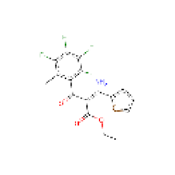 CCOC(=O)C(C(=O)c1c(C)c(F)c(F)c(F)c1F)=C(N)c1cccs1